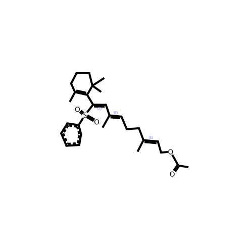 CC(=O)OC/C=C(\C)CC/C=C(C)/C=C(/C1=C(C)CCCC1(C)C)S(=O)(=O)c1ccccc1